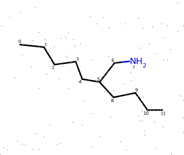 CCCCCC(CN)CCCC